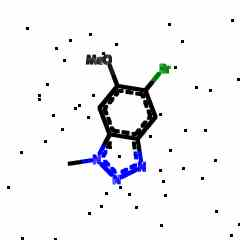 COc1cc2c(cc1Br)nnn2C